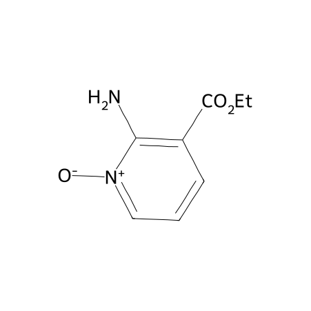 CCOC(=O)c1ccc[n+]([O-])c1N